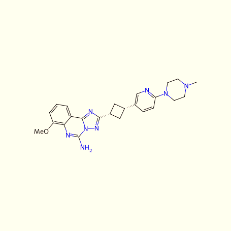 COc1cccc2c1nc(N)n1nc([C@H]3C[C@@H](c4ccc(N5CCN(C)CC5)nc4)C3)nc21